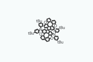 CC(C)(C)c1ccc(N(c2ccc(C(C)(C)C)cc2)c2cc3c(c4c2oc2ccccc24)-c2c(cc(N(c4ccc(C(C)(C)C)cc4)c4ccc(C(C)(C)C)cn4)c4oc5ccccc5c24)C32c3ccc4oc5ccccc5c4c3-c3c2ccc2oc4ccccc4c32)cc1